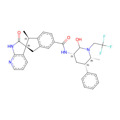 C[C@@H]1[C@H](c2ccccc2)C[C@H](NC(=O)c2ccc3c(c2)C[C@@]2(C(=O)Nc4ncccc42)[C@H]3C)C(O)N1CC(F)(F)F